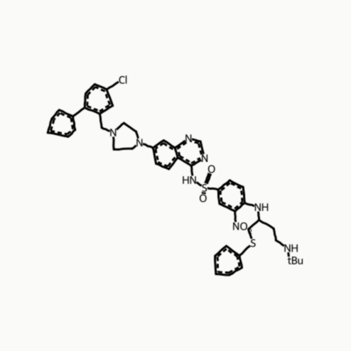 CC(C)(C)NCCC(CSc1ccccc1)Nc1ccc(S(=O)(=O)Nc2ncnc3cc(N4CCN(Cc5cc(Cl)ccc5-c5ccccc5)CC4)ccc23)cc1[N+](=O)[O-]